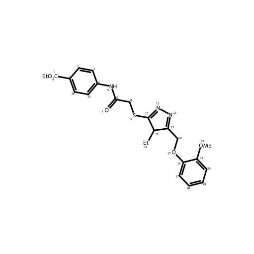 CCOC(=O)c1ccc(NC(=O)CSC2=NN=C(COc3ccccc3OC)C2CC)cc1